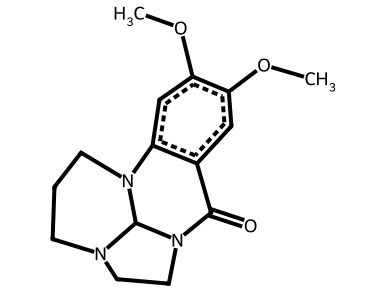 COc1cc2c(cc1OC)N1CCCN3CCN(C2=O)C31